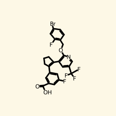 O=C(O)c1cc(F)cc(C2=C(c3cc(C(F)(F)F)cnc3OCc3ccc(Br)cc3F)CCC2)c1